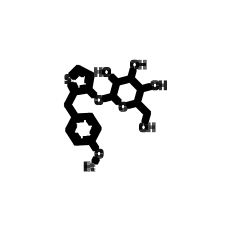 CCOc1ccc(Cc2sccc2OC2OC(CO)C(O)C(O)C2O)cc1